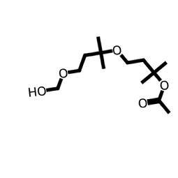 CC(=O)OC(C)(C)CCOC(C)(C)CCOCO